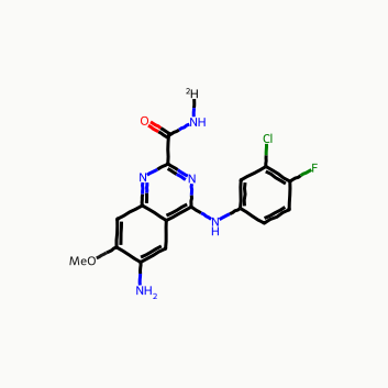 [2H]NC(=O)c1nc(Nc2ccc(F)c(Cl)c2)c2cc(N)c(OC)cc2n1